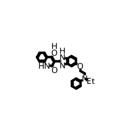 CCN(CCOc1ccc2[nH]c(-c3c(O)c4ccccc4[nH]c3=O)nc2c1)c1ccccc1